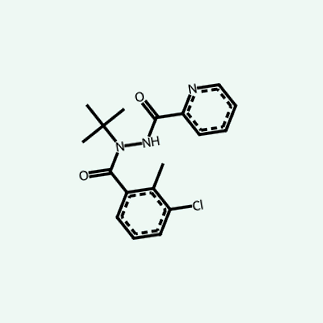 Cc1c(Cl)cccc1C(=O)N(NC(=O)c1ccccn1)C(C)(C)C